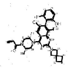 C=CC(=O)N1C[C@H](C)N(c2nc(N3CC4(CCC4)C3)nc3c(F)c(-c4c(O)cccc4F)c(Cl)cc23)C[C@H]1C